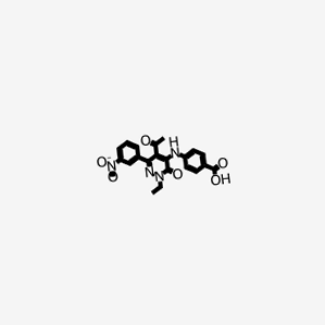 CCn1nc(-c2cccc([N+](=O)[O-])c2)c(C(C)=O)c(Nc2ccc(C(=O)O)cc2)c1=O